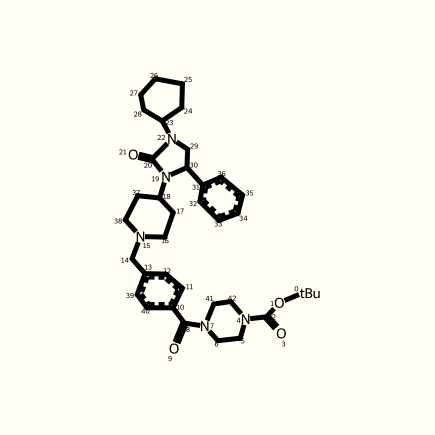 CC(C)(C)OC(=O)N1CCN(C(=O)c2ccc(CN3CCC(N4C(=O)N(C5CCCCC5)CC4c4ccccc4)CC3)cc2)CC1